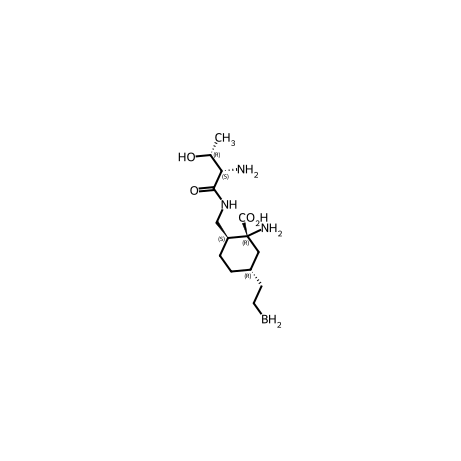 BCC[C@@H]1CC[C@@H](CNC(=O)[C@@H](N)[C@@H](C)O)[C@@](N)(C(=O)O)C1